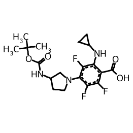 CC(C)(C)OC(=O)NC1CCN(c2c(F)c(F)c(C(=O)O)c(NC3CC3)c2F)C1